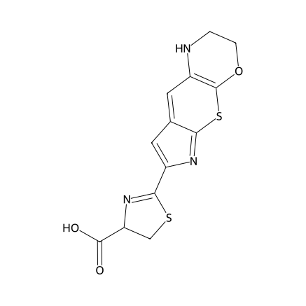 O=C(O)C1CSC(c2cc3cc4c(sc-3n2)OCCN4)=N1